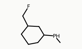 CPC1CCCC(CF)C1